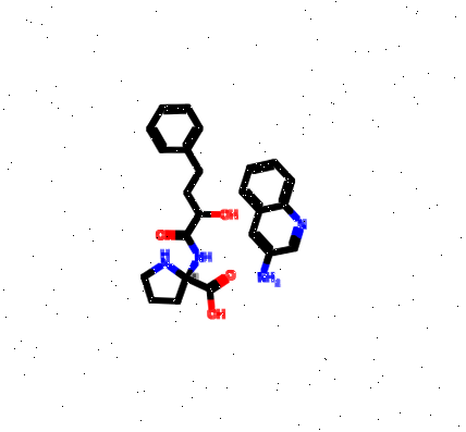 Nc1cnc2ccccc2c1.O=C(N[C@@]1(C(=O)O)CCCN1)C(O)CCc1ccccc1